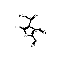 CC(=O)c1c(O)oc(C=O)c1C=O